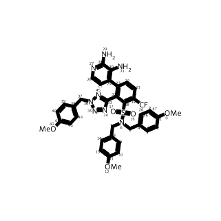 COc1ccc(CN(Cc2ccc(OC)cc2)S(=O)(=O)c2c(C(F)(F)F)ccc(-c3ccnc(N)c3N)c2-c2nnn(Cc3ccc(OC)cc3)n2)cc1